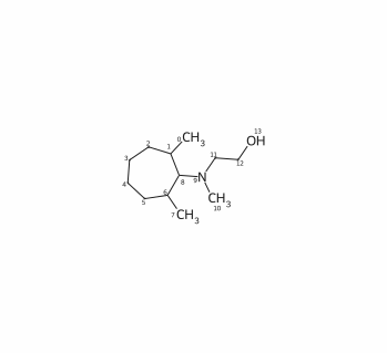 CC1CCCCC(C)C1N(C)CCO